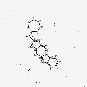 O=C1N=C(NC2CCCCCC2)SC1Cc1nc2ccccc2[nH]1